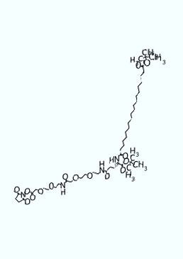 CC(C)(C)OC(=O)CCCCCCCCCCCCCCCCCCC(=O)N[C@@H](CCC(=O)NCCOCCOCC(=O)NCCOCCOCC(=O)ON1C(=O)CCC1=O)C(=O)OC(C)(C)C